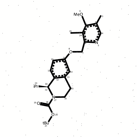 COc1c(C)cnc(COc2ccc3c(c2)CCN(C(=O)OC(C)(C)C)[C@H]3C(C)C)c1C